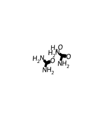 NC(N)=O.NC(N)=O.O